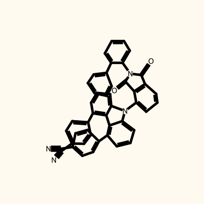 N#Cc1ccc(-c2cccc3c2c2c(-c4ccc(C#N)cc4)cccc2n3-c2cccc3c2C(=O)N(c2ccccc2-c2ccccc2)C3=O)cc1